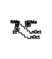 CCCCCCCC/C=C\CCCCCCC(C)(CC)[N+]1=CNCC1.CCCCCCCC/C=C\CCCCCCCC(=O)NC.COS(=O)(=O)[O-]